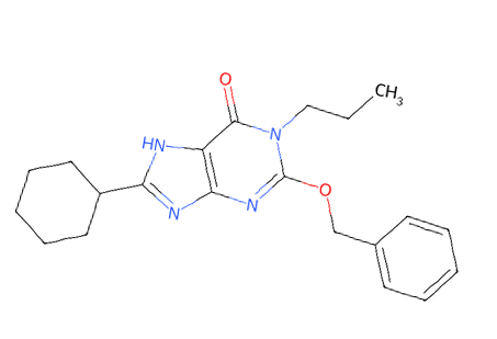 CCCn1c(OCc2ccccc2)nc2nc(C3CCCCC3)[nH]c2c1=O